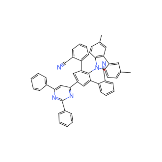 Cc1ccc2c(c1)c1cc(C)ccc1n2-c1c(-c2ccccc2C#N)cc(-c2cc(-c3ccccc3)nc(-c3ccccc3)n2)cc1-c1ccccc1C#N